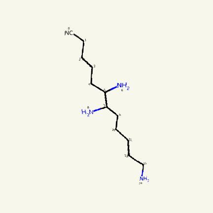 N#CCCCCC(N)C(N)CCCCCN